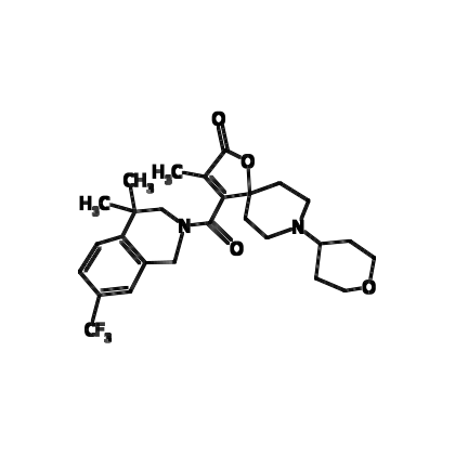 CC1=C(C(=O)N2Cc3cc(C(F)(F)F)ccc3C(C)(C)C2)C2(CCN(C3CCOCC3)CC2)OC1=O